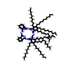 CCCCCCCCCCc1c(CCCCCCCCCC)c(CCCCCCCCCC)c2c(c1CCCCCCCCCC)-c1nc-2nc2[nH]c(nc3nc(nc4[nH]c(n1)c1ccccc41)-c1ccccc1-3)c1c(CCCCCCCCCC)c(CCCCCCCCCC)c(CCCCCCCCCC)c(CCCCCCCCCC)c21